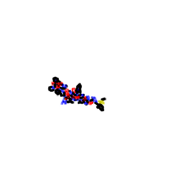 CCSSc1cccc(C)c1CN[C@@H](C)C(=O)N[C@H](C(=O)N(C)[C@@H](CC(C)C)C(=O)N[C@H](C(=O)N(C)[C@@H](Cc1ccccc1)C(=O)NCC(=O)N(C)[C@@H](CC(C)C)C(=O)N(C)[C@H](C(=O)N[C@@H](Cc1ccccc1)C(=O)N[C@@H](CC(=O)O)C(=O)N(C)[C@@H](Cc1ccccc1)C(=O)N[C@@H](C)C(=O)N1CCCCC1)C(C)C)[C@@H](C)O)C(C)C